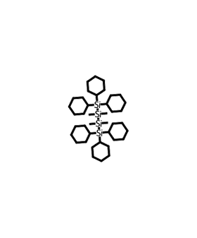 C[Si](C)([Si](C1CCCCC1)(C1CCCCC1)C1CCCCC1)[Si](C)(C)[Si](C1CCCCC1)(C1CCCCC1)C1CCCCC1